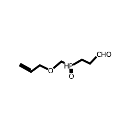 C=CCOC[PH](=O)CCC=O